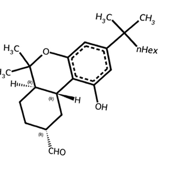 CCCCCCC(C)(C)c1cc(O)c2c(c1)OC(C)(C)[C@@H]1CC[C@@H](C=O)C[C@@H]21